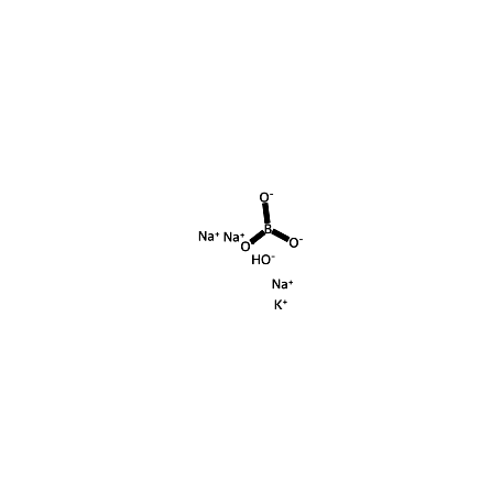 [K+].[Na+].[Na+].[Na+].[O-]B([O-])[O-].[OH-]